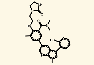 CN(C)C(=O)c1cc(-c2cnc3[nH]cc(-c4ccccc4O)c3c2)cc(F)c1NCCN1CCNC1=O